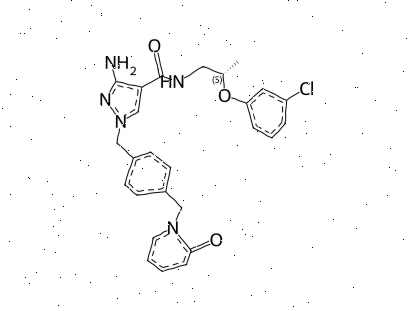 C[C@@H](CNC(=O)c1cn(Cc2ccc(Cn3ccccc3=O)cc2)nc1N)Oc1cccc(Cl)c1